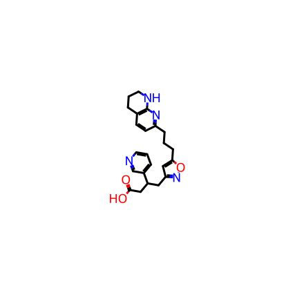 O=C(O)CC(Cc1cc(CCCc2ccc3c(n2)NCCC3)on1)c1cccnc1